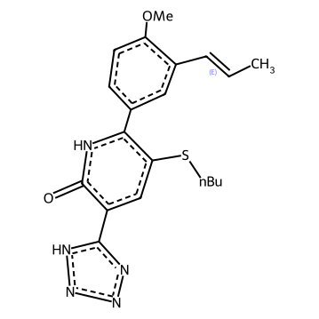 C/C=C/c1cc(-c2[nH]c(=O)c(-c3nnn[nH]3)cc2SCCCC)ccc1OC